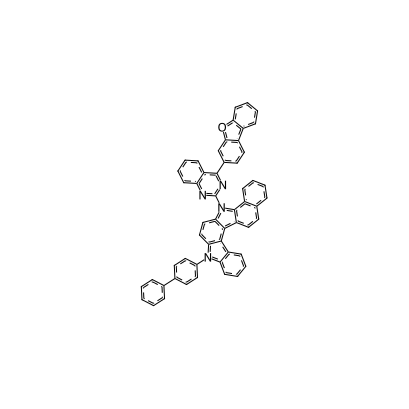 c1ccc(-c2ccc(-n3c4ccccc4c4c5c6ccc7ccccc7c6n(-c6nc(-c7ccc8c(c7)oc7ccccc78)c7ccccc7n6)c5ccc43)cc2)cc1